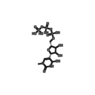 CN1C=C([C@@H]2O[C@H](COP(=O)(O)OP(=O)(O)OP(=O)(O)O)C(O)C2O)C(O)NC1=O